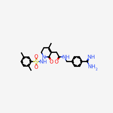 CC1=C(CC(=O)NCc2ccc(C(=N)N)cc2)C(=O)N(NS(=O)(=O)c2cc(C)ccc2C)CC1